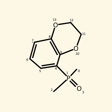 CP(C)(=O)c1cc[c]c2c1OCCO2